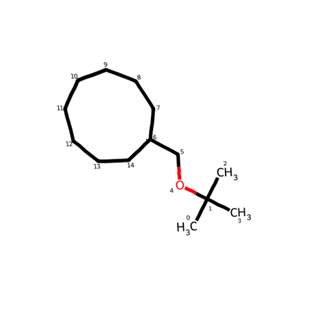 CC(C)(C)OC[C]1CCCCCCCC1